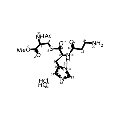 COC(=O)C(CSC(=O)[C@H](Cc1cnc[nH]1)NC(=O)CCN)NC(C)=O.Cl.Cl